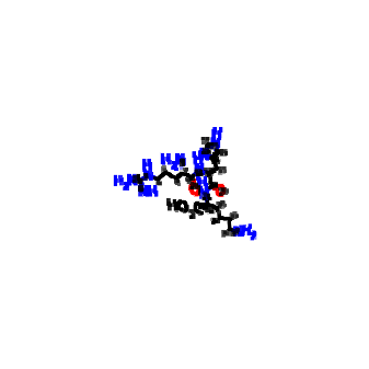 N=C(N)NCCC[C@H](N)C(=O)N[C@@H](Cc1c[nH]cn1)C(=O)N[C@@H](CCCCN)C(=O)O